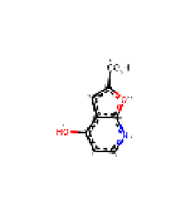 O=C(O)c1cc2c(O)ccnc2o1